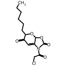 CCCCCCC1OC2OC(=O)N(C(=O)CCl)C2=CC1=O